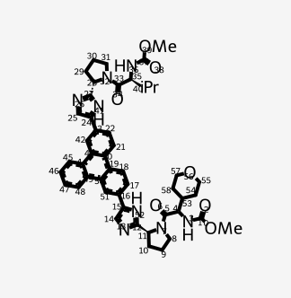 COC(=O)NC(C(=O)N1CCC[C@H]1c1ncc(-c2ccc3c4ccc(-c5cnc([C@@H]6CCCN6C(=O)[C@@H](NC(=O)OC)C(C)C)[nH]5)cc4c4ccccc4c3c2)[nH]1)C1CCOCC1